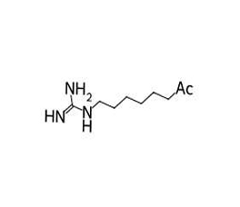 CC(=O)CCCCCCNC(=N)N